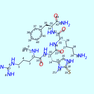 CC(C)NC(CCCNC(=N)N)C(=O)N[C@@H](Cc1c[nH]c(=S)n1C)C(=O)N[C@@H](CCCCN)C(=O)N[C@@H](Cc1ccccc1)C(N)=O